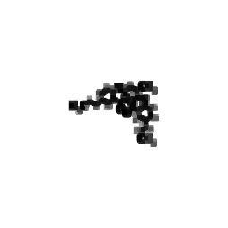 CCCc1ccc2nc(CC(C)c3nc4ccc(CCC)cc4c(=O)o3)oc(=O)c2c1